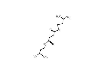 CC(C)CCNC(=O)CCC(=O)NCCC(C)C